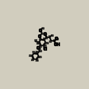 COCOc1c(C(=O)C(C)CC(=O)O)cc(Cl)c(OCc2ccccc2)c1C